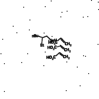 C=CC(=O)O.C=CC(=O)O.C=CC(=O)O.CCCCC(CC)[CH2][SnH]